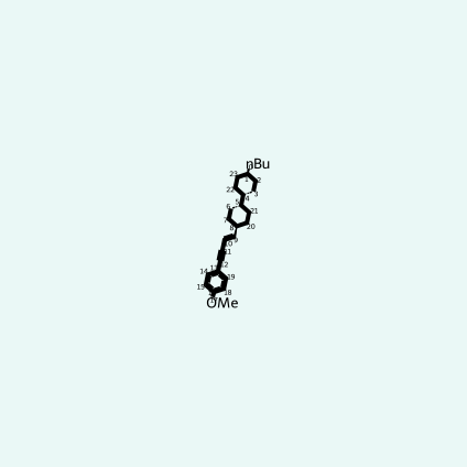 CCCC[C@H]1CC[C@H]([C@H]2CC[C@H](C=CC#Cc3ccc(OC)cc3)CC2)CC1